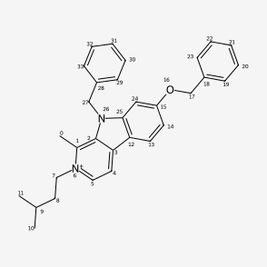 Cc1c2c(cc[n+]1CCC(C)C)c1ccc(OCc3ccccc3)cc1n2Cc1ccccc1